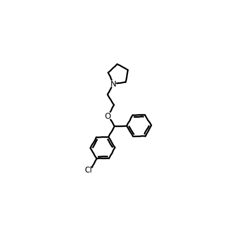 Clc1ccc(C(OCCN2CCCC2)c2ccccc2)cc1